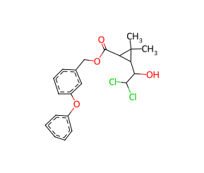 CC1(C)C(C(=O)OCc2cccc(Oc3ccccc3)c2)C1C(O)C(Cl)Cl